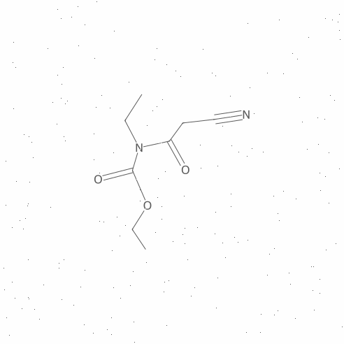 CCOC(=O)N(CC)C(=O)CC#N